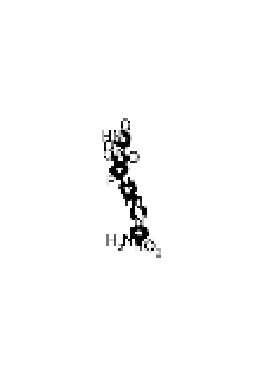 Nc1cc(N2CCN(CC3(F)CCN(c4cc5c(cc4F)C(=O)N(C4CCC(=O)NC4=O)C5=O)CC3)CC2)ccc1[N+](=O)[O-]